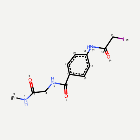 CC(C)NC(=O)CNC(=O)c1ccc(NC(=O)CI)cc1